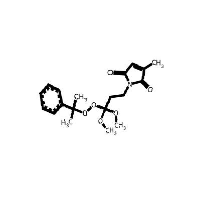 COC(CCN1C(=O)C=C(C)C1=O)(OC)OOC(C)(C)c1ccccc1